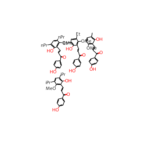 CCCc1cc(CCC)c(OC)c(C=CC(=O)c2ccc(O)cc2)c1O.CCc1cc(CC)c(OC)c(C=CC(=O)c2ccc(O)cc2)c1O.COc1c(C(C)C)cc(C(C)C)c(O)c1C=CC(=O)c1ccc(O)cc1.COc1ccc(C)c(O)c1C=CC(=O)c1ccc(O)cc1